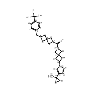 O=C(N1CC2(CC(Cc3cnc(C(F)(F)F)nc3)C2)C1)N1CC2(CC(n3cnc(C4(O)CC4)n3)C2)C1